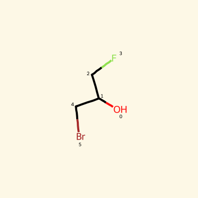 OC(CF)CBr